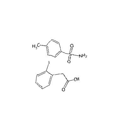 Cc1ccc(S(N)(=O)=O)cc1.O=C(O)Cc1ccccc1I